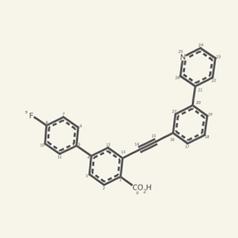 O=C(O)c1ccc(-c2ccc(F)cc2)cc1C#Cc1cccc(-c2cccnc2)c1